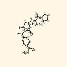 CC(c1ccc(C(N)=O)cc1)N1C(=O)C2C[C@H]1CN2CC(N)C(=O)N1CCCC1C#N